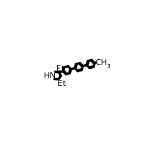 CCC1CNCC(CC)(C2=CC=C(c3ccc(-c4ccc(C)cc4)cc3)CC2)C1